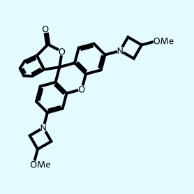 COC1CN(c2ccc3c(c2)Oc2cc(N4CC(OC)C4)ccc2C32OC(=O)c3ccccc32)C1